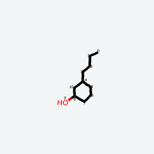 CCCCC1CCCC(O)C1